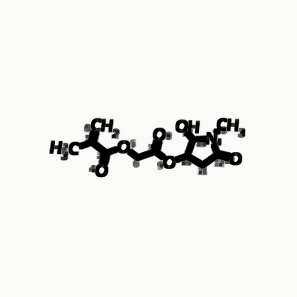 C=C(C)C(=O)OCC(=O)OC1CC(=O)N(C)C1O